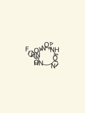 C[C@@H]1CN[C@@H](C2CC2)C(=O)N(C)[C@H](C)C(=O)N[C@H](Cc2ccc(F)cc2)C(=O)NCCCc2ncccc2O1